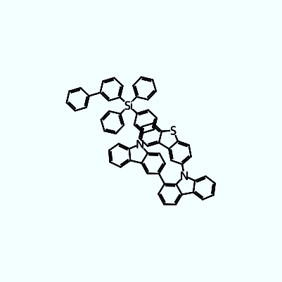 c1ccc(-c2cccc([Si](c3ccccc3)(c3ccccc3)c3cccc(-n4c5ccccc5c5cc(-c6cccc7c8ccccc8n(-c8ccc9sc%10ccccc%10c9c8)c67)ccc54)c3)c2)cc1